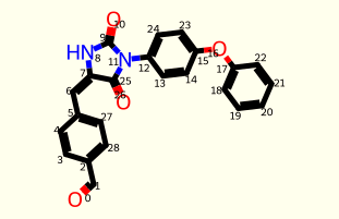 O=Cc1ccc(C=C2NC(=O)N(c3ccc(Oc4ccccc4)cc3)C2=O)cc1